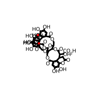 O=C(O)CC1C(=O)OC2C3COC(=O)c4cc(O)c(O)c(O)c4-c4c(cc(O)c(O)c4O)C(=O)COC2C(OC(=O)c2cc(O)c(O)c4c2C1C(O)C(=O)O4)C(OC(=O)c1cc(O)c(O)c(O)c1)O3